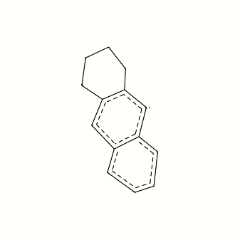 [c]1c2c(cc3ccccc13)CCCC2